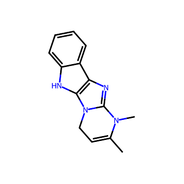 CC1=CCn2c(nc3c4ccccc4[nH]c32)N1C